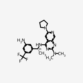 C[C@@H](Nc1nc(N(C)C)nc2cnc(N3CCCC3)cc12)c1cc(N)cc(C(F)(F)F)c1